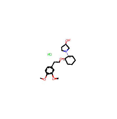 COc1ccc(CCO[C@@H]2CCCC[C@H]2N2CCC(O)C2)cc1OC.Cl